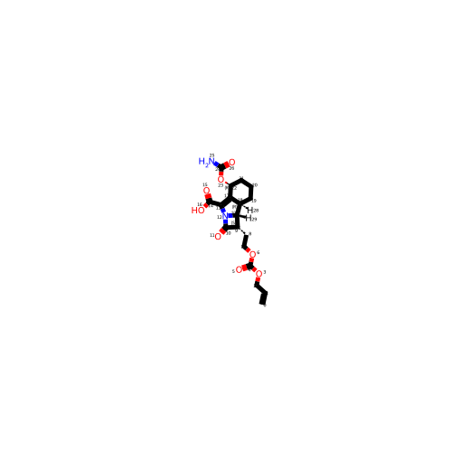 C=CCOC(=O)OCC[C@@H]1C(=O)N2C(C(=O)O)=C3[C@@H](CCC[C@H]3OC(N)=O)[C@H]12